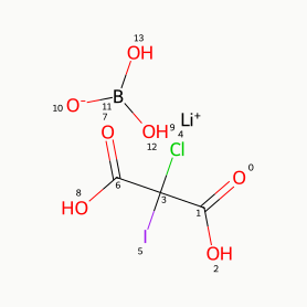 O=C(O)C(Cl)(I)C(=O)O.[Li+].[O-]B(O)O